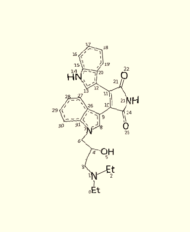 CCN(CC)CC(O)Cn1cc(C2=C(c3c[nH]c4ccccc34)C(=O)NC2=O)c2ccccc21